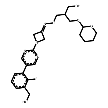 OCc1cccc(-c2cnc(N3CC(=NOCC(CO)COC4CCCCO4)C3)nc2)c1F